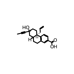 C=CC[C@@]12CC[C@](O)(C#CC)C[C@H]1CCc1cc(C(=O)O)ccc12